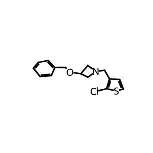 Clc1sccc1CN1CC(OCc2ccccc2)C1